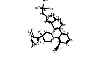 Cn1cnnc1C1(F)CCN(c2c(C#N)cccc2-c2cnc3nn(CC(F)(F)F)cc3c2)CC1